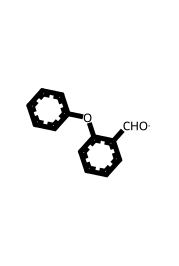 O=[C]c1ccccc1Oc1ccccc1